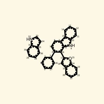 c1ccc(-c2ccc3c([nH]c4ccccc43)c2-c2cc3ccccc3o2)cc1.c1ccc2[nH]ccc2c1